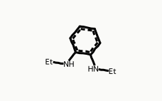 CCNc1ccccc1NCC